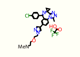 CNCCOCCn1cc(-c2ccc3c(c2)C(c2ccc(Cl)cc2)=NC2(CC2)c2nnc(C)n2-3)cn1.O=C(O)C(F)(F)F